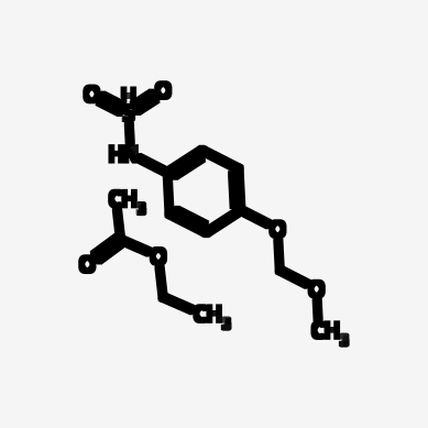 CCOC(C)=O.COCOc1ccc(N[SH](=O)=O)cc1